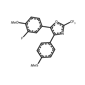 COc1ccc(-c2oc(C(F)(F)F)nc2-c2ccc(SC)cc2)cc1F